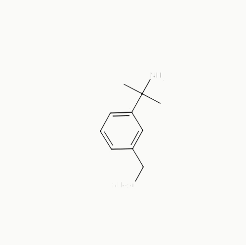 CCCCCCCCc1cccc(C(C)(C)N)c1